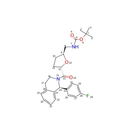 CC(C)(C)OC(=O)NC[C@@H]1CC[C@@H](C(=O)N2CCc3ccccc3[C@@H]2c2ccc(F)cc2)O1